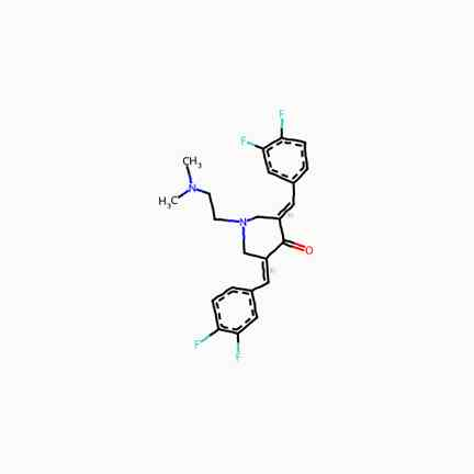 CN(C)CCN1C/C(=C\c2ccc(F)c(F)c2)C(=O)/C(=C/c2ccc(F)c(F)c2)C1